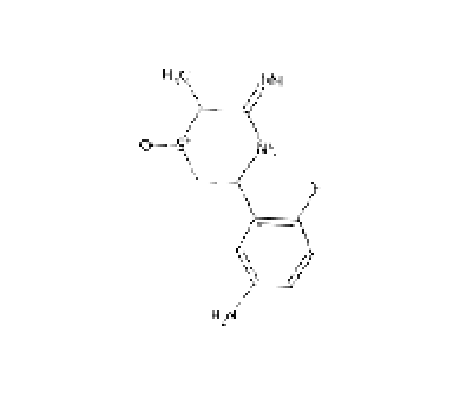 CC1C(=N)NC(c2cc(N)ccc2F)C[S+]1[O-]